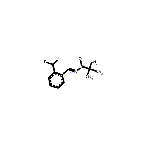 CC(C)(C)[S+]([O-])/N=C/c1ccccc1C(F)F